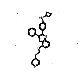 c1ccc(-c2nc3c(OCCc4ccncc4)cccc3nc2-c2ccc(NC3CCC3)cc2)cc1